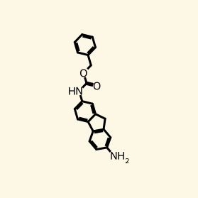 Nc1ccc2c(c1)Cc1cc(NC(=O)OCc3ccccc3)ccc1-2